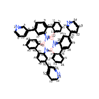 c1cncc(-c2ccc3c(c2)N2B(c4ccccc4-3)N3B(c4ccccc4-c4ccc(-c5cccnc5)cc43)N3B2c2ccccc2-c2ccc(-c4cccnc4)cc23)c1